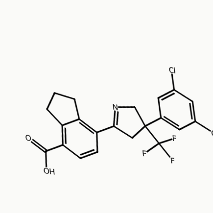 O=C(O)c1ccc(C2=NCC(c3cc(Cl)cc(Cl)c3)(C(F)(F)F)C2)c2c1CCC2